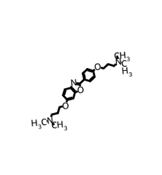 CN(C)CCCOc1ccc(-c2nc3ccc(OCCCN(C)C)cc3o2)cc1